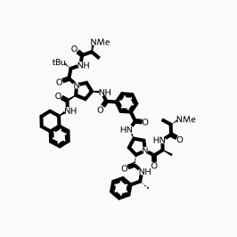 CN[C@@H](C)C(=O)N[C@@H](C)C(=O)N1C[C@@H](NC(=O)c2cccc(C(=O)N[C@H]3C[C@@H](C(=O)N[C@@H]4CCCc5ccccc54)N(C(=O)[C@@H](NC(=O)[C@H](C)NC)C(C)(C)C)C3)c2)C[C@H]1C(=O)N[C@H](C)c1ccccc1